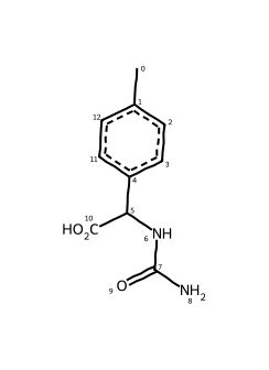 Cc1ccc(C(NC(N)=O)C(=O)O)cc1